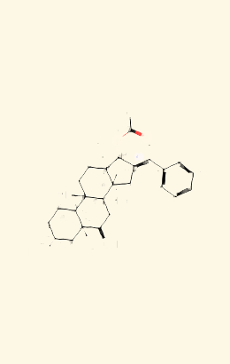 C=C1C[C@@H]2[C@H]3C/C(=C\c4ccccc4)[C@@H](OC(C)=O)[C@]3(C)CC[C@H]2[C@]2(C)CC[C@H](C)C[C@@H]12